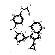 FC(F)Oc1ccc(Nc2cncc(-c3c(C4CC4)nc4ccccn34)n2)cc1